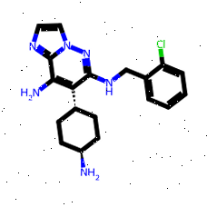 Nc1c2nccn2nc(NCc2ccccc2Cl)c1[C@H]1CC[C@H](N)CC1